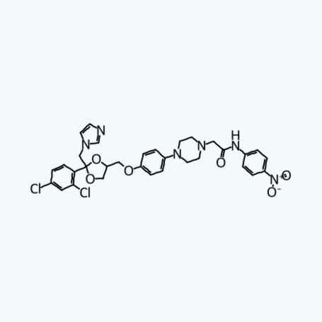 O=C(CN1CCN(c2ccc(OCC3COC(Cn4ccnc4)(c4ccc(Cl)cc4Cl)O3)cc2)CC1)Nc1ccc([N+](=O)[O-])cc1